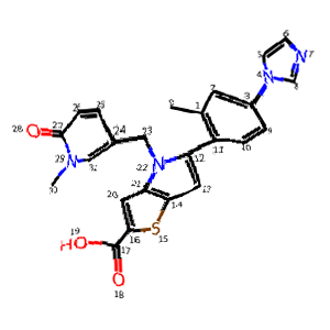 Cc1cc(-n2ccnc2)ccc1-c1cc2sc(C(=O)O)cc2n1Cc1ccc(=O)n(C)c1